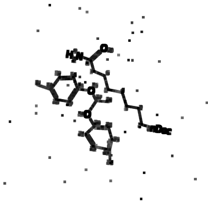 CCCCCCCCCCCCCCCCCC(N)=O.Cc1ccc(OC(C)Oc2ccc(C)cc2)cc1